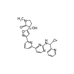 CN1CC[C@@](O)(c2cc(-c3cccc(-c4ccnc(NC(c5ccccn5)C5CC5)n4)n3)no2)C1=O